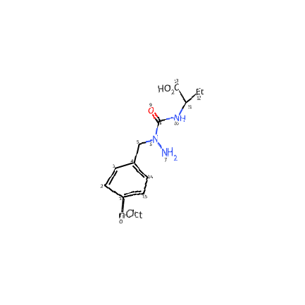 CCCCCCCCc1ccc(CN(N)C(=O)NC(CC)C(=O)O)cc1